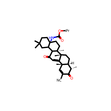 CC(C)OC(=O)N[C@]12CCC(C)(C)CC1C1C(=O)C=C3[C@@]4(C)C=C(C#N)C(=O)[C@@H](C)[C@@H]4CC[C@@]3(C)[C@]1(C)CC2